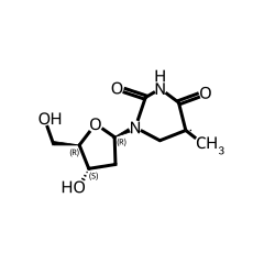 C[C]1CN([C@H]2C[C@H](O)[C@@H](CO)O2)C(=O)NC1=O